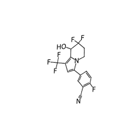 N#Cc1cc(-c2cc(C(F)(F)F)c3n2CCC(F)(F)C3O)ccc1F